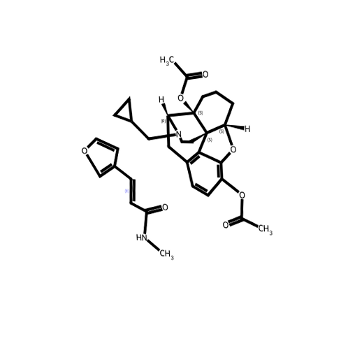 CC(=O)Oc1ccc2c3c1O[C@H]1CCC[C@@]4(OC(C)=O)[C@@H](C2)N(CC2CC2)CC[C@]314.CNC(=O)/C=C/c1ccoc1